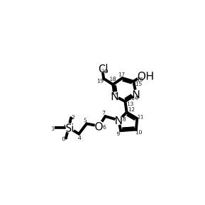 C[Si](C)(C)CCOCn1cccc1-c1nc(O)cc(CCl)n1